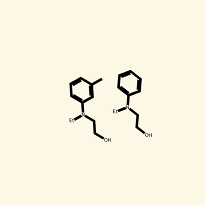 CCN(CCO)c1cccc(C)c1.CCN(CCO)c1ccccc1